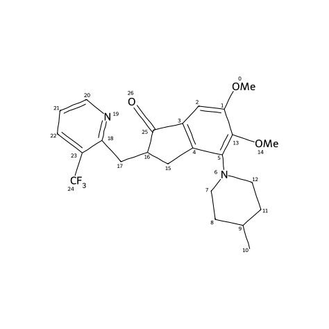 COc1cc2c(c(N3CCC(C)CC3)c1OC)CC(Cc1ncccc1C(F)(F)F)C2=O